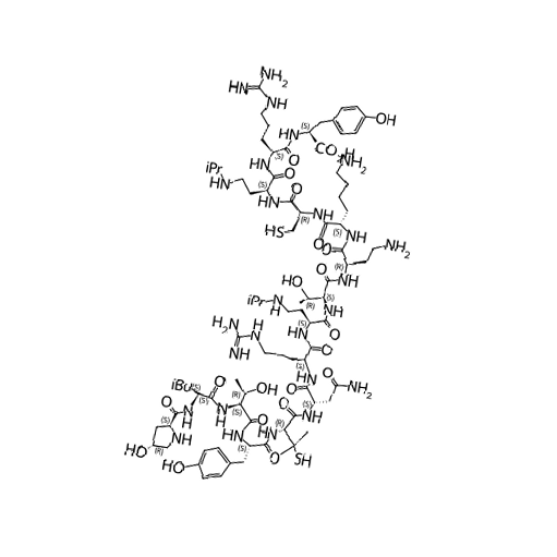 CC[C@H](C)[C@H](NC(=O)[C@@H]1C[C@@H](O)CN1)C(=O)N[C@H](C(=O)N[C@@H](Cc1ccc(O)cc1)C(=O)N[C@H](C(=O)N[C@@H](CC(N)=O)C(=O)N[C@@H](CCCNC(=N)N)C(=O)N[C@@H](CCNC(C)C)C(=O)N[C@H](C(=O)N[C@H](CCN)C(=O)N[C@@H](CCCCN)C(=O)N[C@@H](CS)C(=O)N[C@@H](CCNC(C)C)C(=O)N[C@@H](CCCNC(=N)N)C(=O)N[C@@H](Cc1ccc(O)cc1)C(=O)O)[C@@H](C)O)C(C)(C)S)[C@@H](C)O